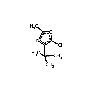 Cc1nc(C(C)(C)C)c(Cl)o1